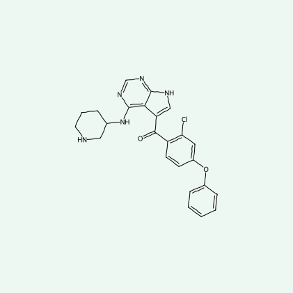 O=C(c1ccc(Oc2ccccc2)cc1Cl)c1c[nH]c2ncnc(NC3CCCNC3)c12